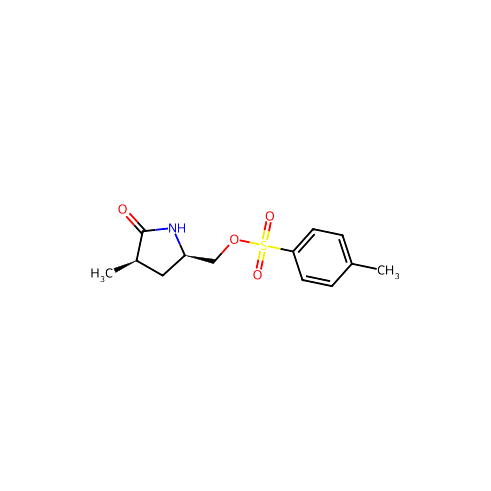 Cc1ccc(S(=O)(=O)OC[C@H]2C[C@@H](C)C(=O)N2)cc1